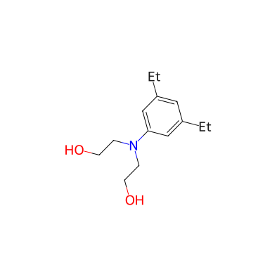 CCc1cc(CC)cc(N(CCO)CCO)c1